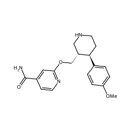 COc1ccc([C@@H]2CCNC[C@H]2COc2cc(C(N)=O)ccn2)cc1